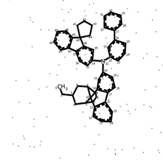 CCC1CC2CCCC(C1)C21c2ccccc2-c2ccc(N(c3cccc(-c4ccccc4)c3)c3ccc4c(c3)C3(CCCC3)c3ccccc3-4)cc21